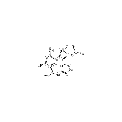 CCC(=O)Nc1cc(-c2c(-c3ccc(F)cc3O)nn(C)c2OC(F)F)ccn1